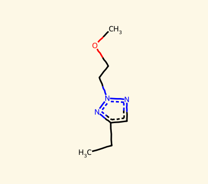 CCc1cnn(CCOC)n1